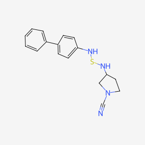 N#CN1CCC(NSNc2ccc(-c3ccccc3)cc2)C1